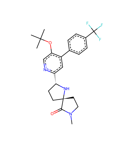 CN1CC[C@]2(CC[C@H](c3cc(-c4ccc(C(F)(F)F)cc4)c(OC(C)(C)C)cn3)N2)C1=O